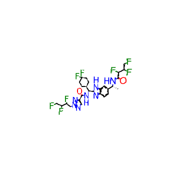 C[C@@H](NC(=O)C(F)C(F)CF)c1ccc2nc([C@@H](NC(=O)c3cnn(CC(F)C(F)CF)n3)C3CCC(F)(F)CC3)[nH]c2c1